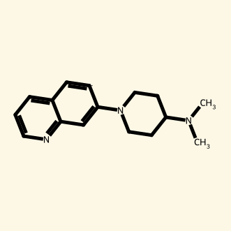 CN(C)C1CCN(c2[c]cc3cccnc3c2)CC1